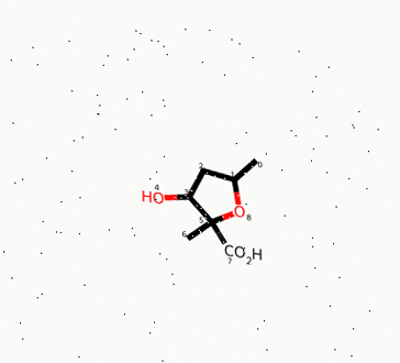 CC1CC(O)C(C)(C(=O)O)O1